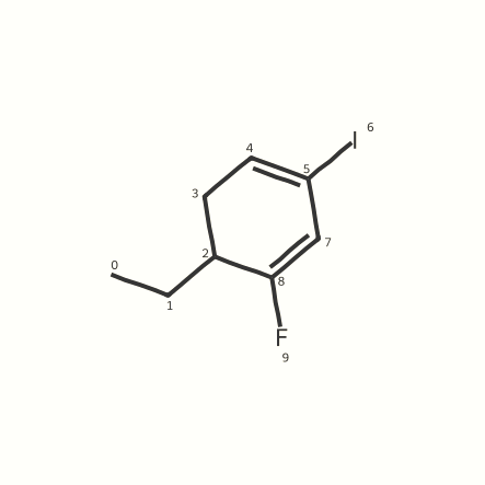 CCC1CC=C(I)C=C1F